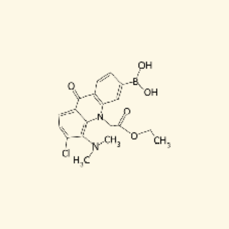 CCOC(=O)Cn1c2cc(B(O)O)ccc2c(=O)c2ccc(Cl)c(N(C)C)c21